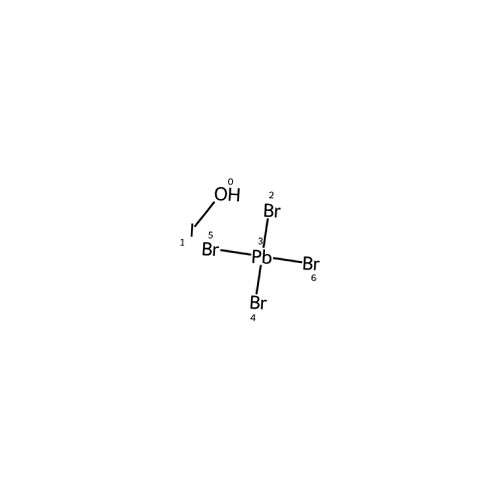 OI.[Br][Pb]([Br])([Br])[Br]